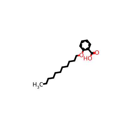 CCCCCCCCCCCOc1ccccc1C(=O)O